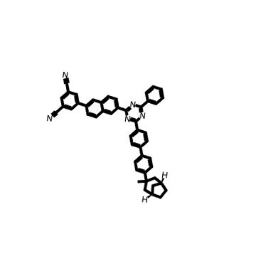 CC1(c2ccc(-c3ccc(-c4nc(-c5ccccc5)nc(-c5ccc6cc(-c7cc(C#N)cc(C#N)c7)ccc6c5)n4)cc3)cc2)C[C@@H]2CC[C@@H](C2)C1